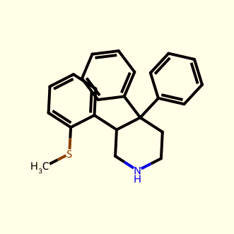 CSc1ccccc1C1CNCCC1(c1ccccc1)c1ccccc1